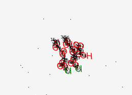 CC(C)(COC(=O)CCC(=O)OC(C)(C)C)COC(=O)OCCl.CC(C)(COC(=O)CCC(=O)OC(C)(C)C)COC(=O)OCCl.O=C(O)CCC(=O)O